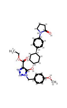 CCOC(=O)c1nnn(Cc2ccc(OC)cc2)c1O[C@H]1CC[C@H](c2ccc(N3CCCC3=O)cc2)CC1